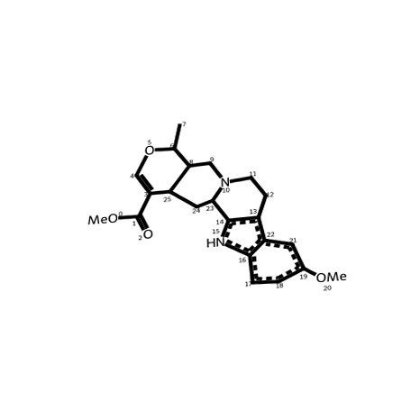 COC(=O)C1=COC(C)C2CN3CCc4c([nH]c5ccc(OC)cc45)C3CC12